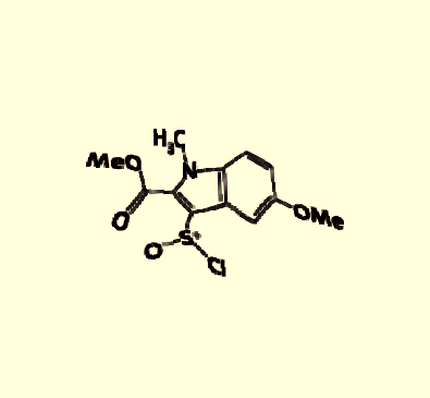 COC(=O)c1c([S+]([O-])Cl)c2cc(OC)ccc2n1C